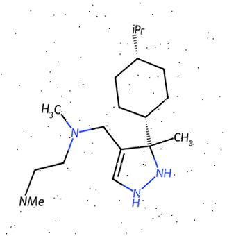 CNCCN(C)CC1=CNNC1(C)[C@H]1CC[C@@H](C(C)C)CC1